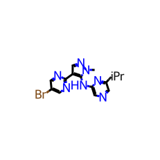 CC(C)c1cncc(Nc2c(-c3ncc(Br)cn3)cnn2C)n1